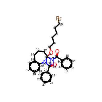 O=C(NC1(OCCCCCCBr)CCCc2ccccc2N1C(=O)c1ccccc1)c1ccccc1